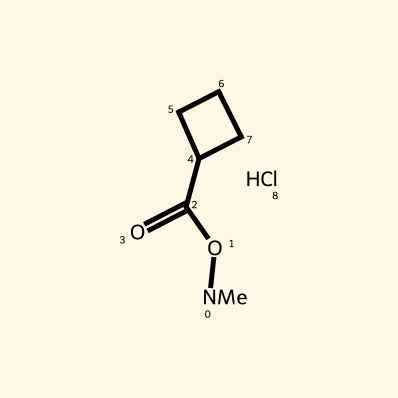 CNOC(=O)C1CCC1.Cl